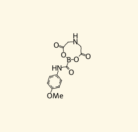 COc1ccc(NC(=O)B2OC(=O)CNCC(=O)O2)cc1